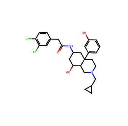 O=C(Cc1ccc(Cl)c(Cl)c1)NC1CC(O)C2CN(CC3CC3)CCC2(c2cccc(O)c2)C1